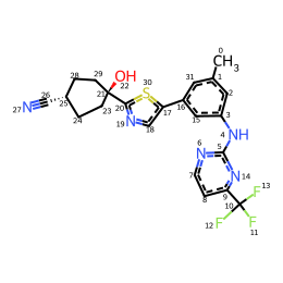 Cc1cc(Nc2nccc(C(F)(F)F)n2)cc(-c2cnc([C@]3(O)CC[C@H](C#N)CC3)s2)c1